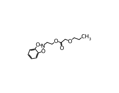 CCCOCC(=O)OCCN1Oc2ccccc2O1